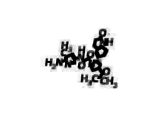 Cc1cc(NC(=O)C(=O)N2CCC(C(=O)C(C)C)C[C@H]2c2ccc3c(c2)CCC(=O)N3)cnc1N